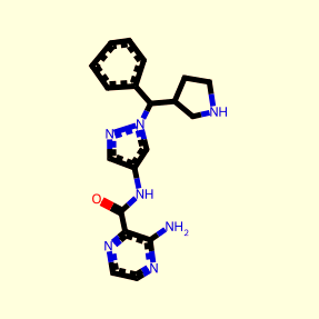 Nc1nccnc1C(=O)Nc1cnn(C(c2ccccc2)C2CCNC2)c1